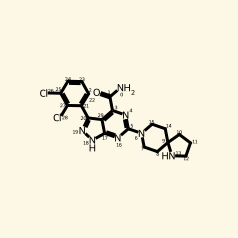 NC(=O)c1nc(N2CCC3(CCCN3)CC2)nc2[nH]nc(-c3cccc(Cl)c3Cl)c12